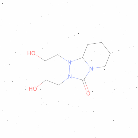 O=C1N2CCCCC2N(CCO)N1CCO